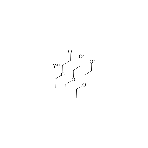 CCOCC[O-].CCOCC[O-].CCOCC[O-].[Y+3]